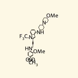 COc1cc(S(C)(=O)=O)ccc1NCC#Cc1cc2c(N[C@H]3CC[C@H](N4CCC(OC)CC4)CC3)cccc2n1CC(F)(F)F